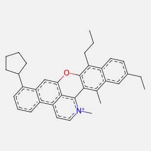 CCCc1c2c(c(C)c3cc(CC)ccc13)-c1c3c(cc4c(C5CCCC5)cccc4c3cc[n+]1C)O2